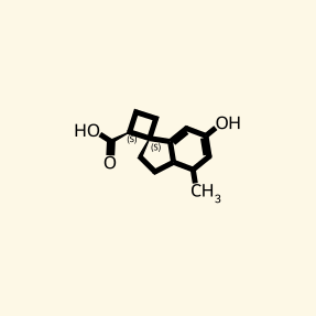 CC1C=C(O)C=C2C1CC[C@@]21CC[C@@H]1C(=O)O